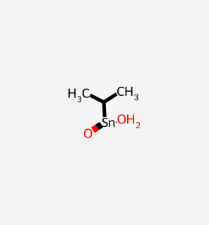 C[CH](C)[Sn]=[O].O